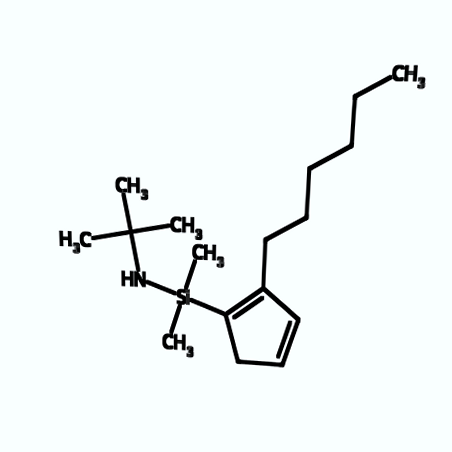 CCCCCCC1=C([Si](C)(C)NC(C)(C)C)CC=C1